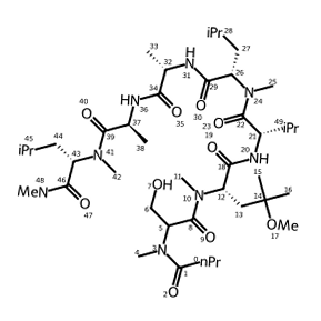 CCCC(=O)N(C)C(CO)C(=O)N(C)[C@@H](CC(C)(C)OC)C(=O)N[C@H](C(=O)N(C)[C@@H](CC(C)C)C(=O)N[C@@H](C)C(=O)N[C@@H](C)C(=O)N(C)[C@@H](CC(C)C)C(=O)NC)C(C)C